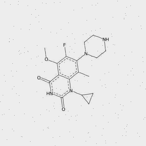 COc1c(F)c(N2CCNCC2)c(C)c2c1c(=O)[nH]c(=O)n2C1CC1